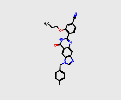 CCCOc1cc(C#N)ccc1-c1nc2cc3ncn(Cc4ccc(F)cc4)c3cc2c(=O)[nH]1